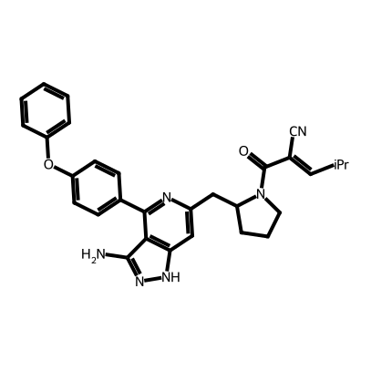 CC(C)C=C(C#N)C(=O)N1CCCC1Cc1cc2[nH]nc(N)c2c(-c2ccc(Oc3ccccc3)cc2)n1